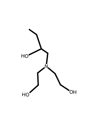 CCC(O)CN(CCO)CCO